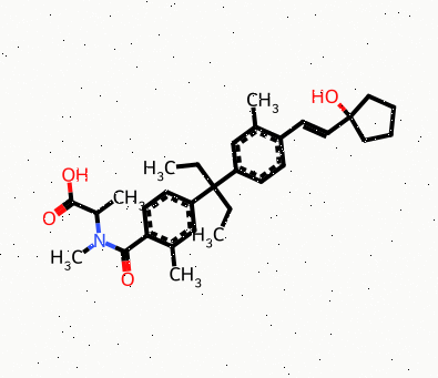 CCC(CC)(c1ccc(/C=C/C2(O)CCCC2)c(C)c1)c1ccc(C(=O)N(C)C(C)C(=O)O)c(C)c1